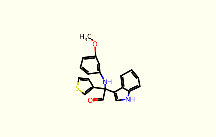 COc1cccc(NC(C=O)(c2ccsc2)c2c[nH]c3ccccc23)c1